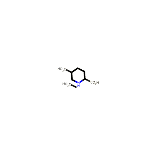 CC(=O)O.O=C(O)C1CCC(C(=O)O)NC1